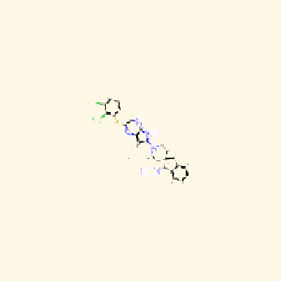 N[C@@H]1c2ccccc2CC12CCN(c1[nH]c3ncc(Sc4cccc(Cl)c4Cl)nc3c1C(=O)O)CC2